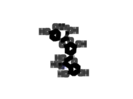 COc1cc([C@H]2Oc3cc([C@H]4Oc5cc(O)cc(O)c5/C(=N/O)[C@@H]4O)cc(O)c3O[C@@H]2CO)ccc1O